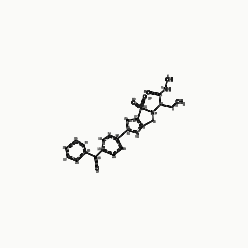 CCC(C(=O)NO)N1Cc2sc(-c3ccc(C(=O)c4ccccc4)cc3)cc2S1(=O)=O